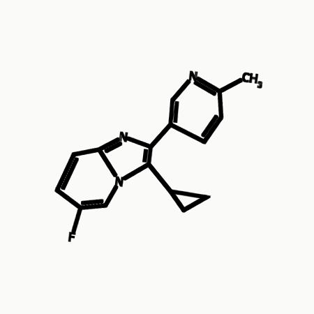 Cc1ccc(-c2nc3ccc(F)cn3c2C2CC2)cn1